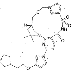 CC1(C)C[C@@H]2CCCn3ccc(n3)S(=O)(=O)NC(=O)c3ccc(-n4ccc(OCCC5CCCC5)n4)nc3N1C2